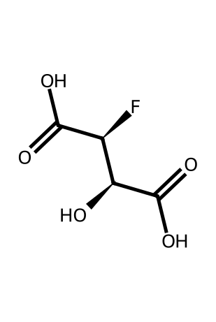 O=C(O)[C@@H](O)[C@H](F)C(=O)O